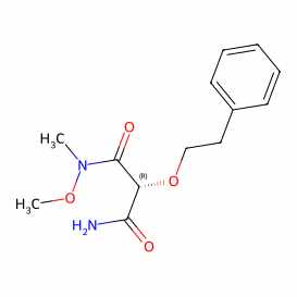 CON(C)C(=O)[C@H](OCCc1ccccc1)C(N)=O